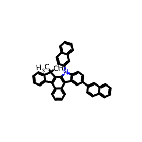 CC1(C)c2ccccc2-c2c1c1c(c3ccccc23)c2cc(-c3ccc4ccccc4c3)ccc2n1-c1ccc2ccccc2c1